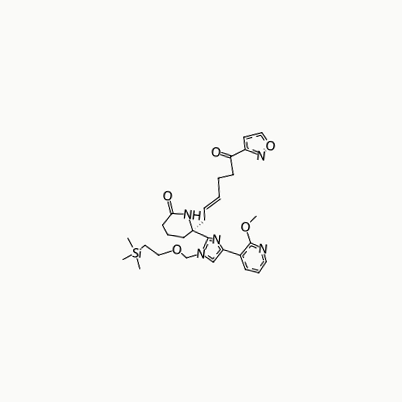 COc1ncccc1-c1cn(COCC[Si](C)(C)C)c([C@@]2(C/C=C/CCC(=O)c3ccon3)CCCC(=O)N2)n1